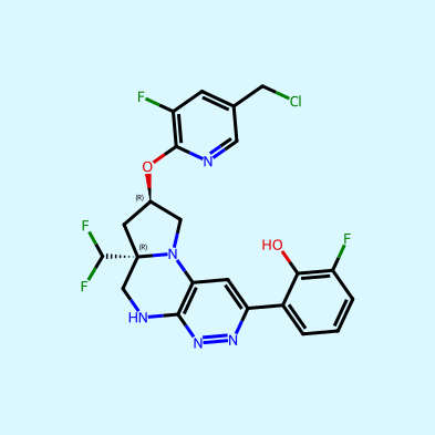 Oc1c(F)cccc1-c1cc2c(nn1)NC[C@@]1(C(F)F)C[C@@H](Oc3ncc(CCl)cc3F)CN21